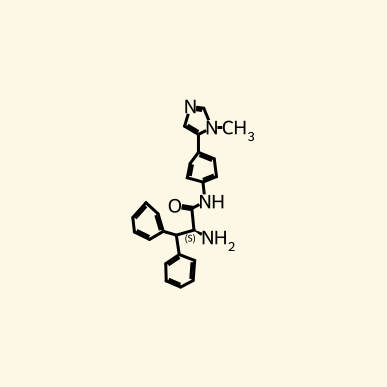 Cn1cncc1-c1ccc(NC(=O)[C@@H](N)C(c2ccccc2)c2ccccc2)cc1